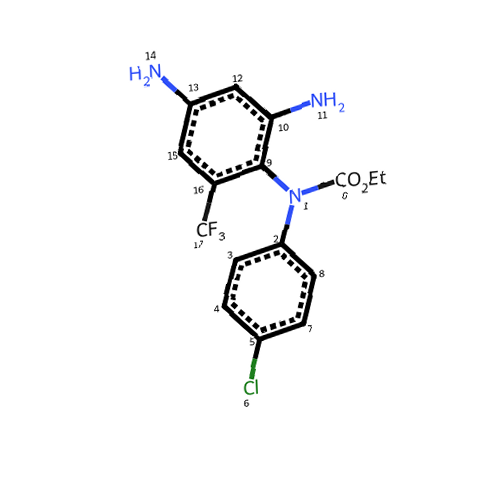 CCOC(=O)N(c1ccc(Cl)cc1)c1c(N)cc(N)cc1C(F)(F)F